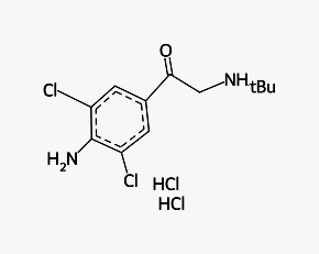 CC(C)(C)NCC(=O)c1cc(Cl)c(N)c(Cl)c1.Cl.Cl